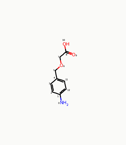 Nc1ccc(COCC(=O)O)cc1